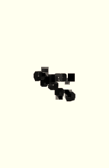 O=C(O)c1nn(C(=O)Nc2ccccc2)c2ccc(-c3cncc(CN4CCCCC4)c3)cc12